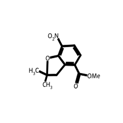 COC(=O)c1ccc([N+](=O)[O-])c2c1CC(C)(C)O2